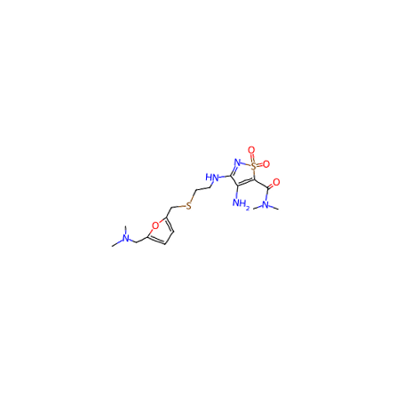 CN(C)Cc1ccc(CSCCNC2=NS(=O)(=O)C(C(=O)N(C)C)=C2N)o1